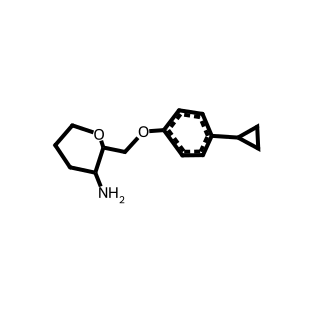 NC1CCCOC1COc1ccc(C2CC2)cc1